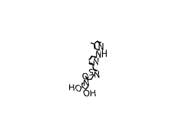 Cc1ccnc(Nc2cccc(-c3cnc(CC(=O)N4C[C@@H](O)[C@@H](O)C4)s3)n2)c1